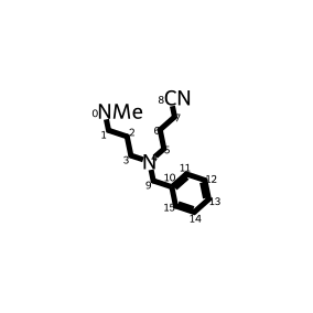 CNCCCN(CCCC#N)Cc1ccccc1